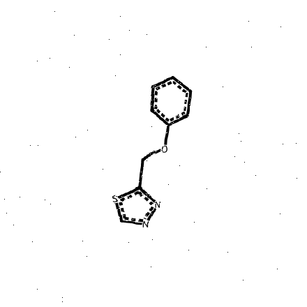 c1ccc(OCc2nncs2)cc1